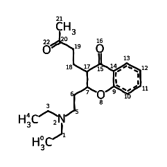 CCN(CC)CCC1Oc2ccccc2C(=O)C1CCC(C)=O